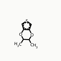 CC1Oc2cscc2OC1C